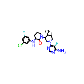 Nc1ncnc(N2CCC(C(F)(F)F)C(N3CCCC(Nc4cc(F)cc(Cl)c4)C3=O)C2)c1F